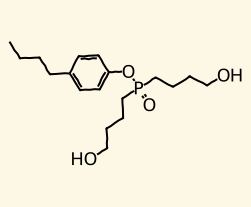 CCCCc1ccc(OP(=O)(CCCCO)CCCCO)cc1